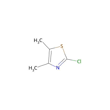 Cc1nc(Cl)sc1C